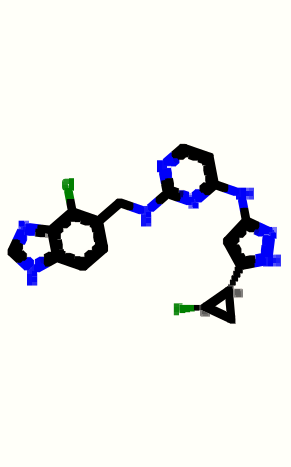 F[C@H]1C[C@H]1c1cc(Nc2ccnc(NCc3ccc4[nH]cnc4c3Cl)n2)n[nH]1